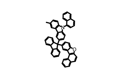 Cc1ccc2c(c1)c1cc(C3(c4ccc5oc6ccc7ccccc7c6c5c4)c4ccccc4-c4ccccc43)ccc1n2-c1cccc2ccccc12